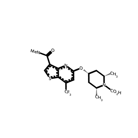 CNC(=O)c1csc2c(C(F)(F)F)cc(O[C@H]3C[C@@H](C)N(C(=O)O)[C@@H](C)C3)nc12